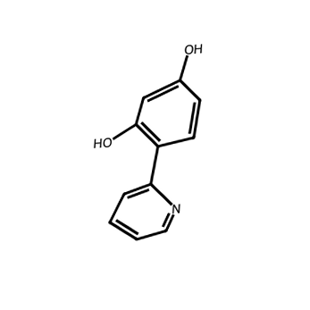 Oc1ccc(-c2ccccn2)c(O)c1